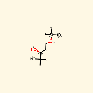 CC(C)(C#N)[C@@H](O)CCO[Si](C)(C)C(C)(C)C